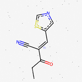 CCC(=O)/C(C#N)=C/c1cncs1